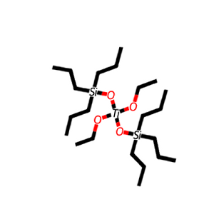 CCC[Si](CCC)(CCC)[O][Ti]([O]CC)([O]CC)[O][Si](CCC)(CCC)CCC